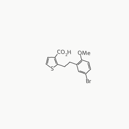 COc1ccc(Br)cc1CCc1sccc1C(=O)O